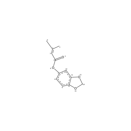 CC(C)=CC(=O)Oc1ccc2c(c1)OCO2